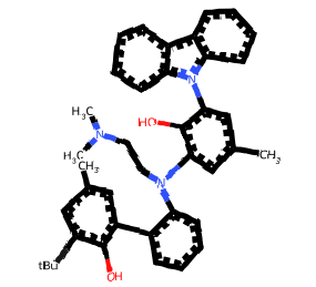 Cc1cc(N(CCN(C)C)c2ccccc2-c2cc(C)cc(C(C)(C)C)c2O)c(O)c(-n2c3ccccc3c3ccccc32)c1